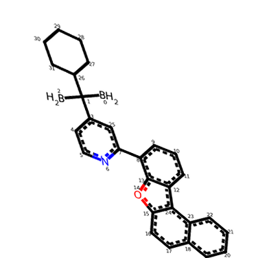 BC(B)(c1ccnc(-c2cccc3c2oc2ccc4ccccc4c23)c1)C1CCCCC1